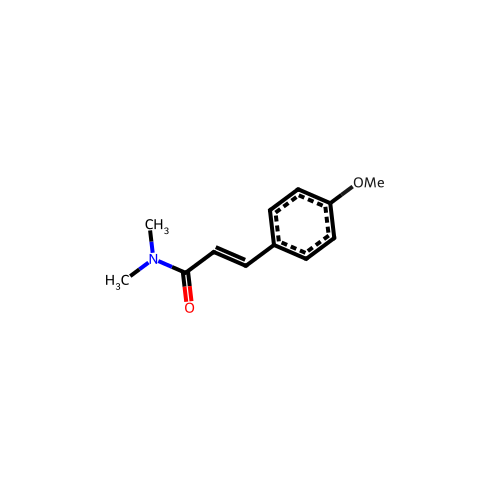 COc1ccc(C=CC(=O)N(C)C)cc1